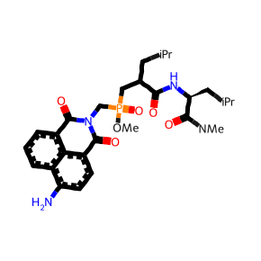 CNC(=O)[C@H](CC(C)C)NC(=O)C(CC(C)C)CP(=O)(CN1C(=O)c2cccc3c(N)ccc(c23)C1=O)OC